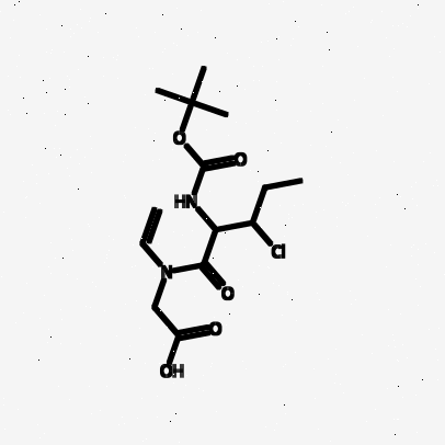 C=CN(CC(=O)O)C(=O)C(NC(=O)OC(C)(C)C)C(Cl)CC